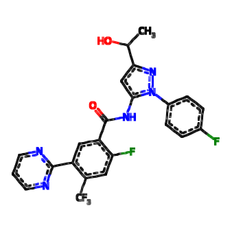 CC(O)c1cc(NC(=O)c2cc(-c3ncccn3)c(C(F)(F)F)cc2F)n(-c2ccc(F)cc2)n1